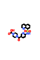 O=C(O)N1CCN(C(=O)c2ccc(NS(=O)(=O)c3cccc4cccnc34)nc2)CC1